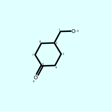 [O]CC1CCC(=O)CC1